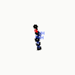 c1ccc(COc2ccc3c(-c4nc5ccc(N6CCC(N7CCCCC7)CC6)cc5[nH]4)n[nH]c3c2)cc1